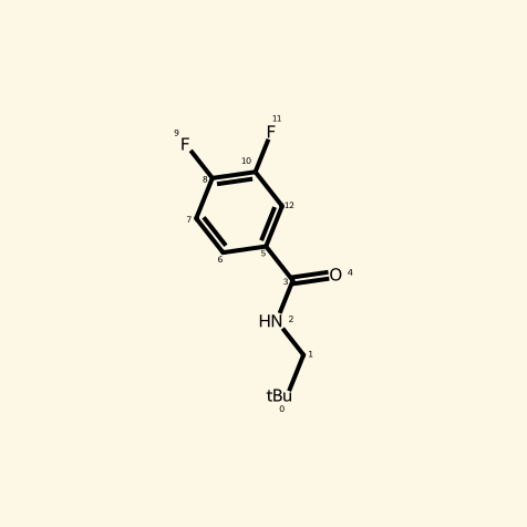 CC(C)(C)CNC(=O)c1ccc(F)c(F)c1